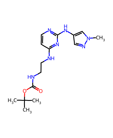 Cn1cc(Nc2nccc(NCCNC(=O)OC(C)(C)C)n2)cn1